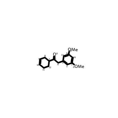 COc1cc(CC(=O)C2CC=CCC2)cc(OC)c1